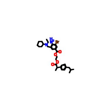 CCN(Cc1cc(C(=O)OCCOC(=O)C(C)c2ccc(CC(C)C)cc2)cc(Br)c1N)C1CCCCC1